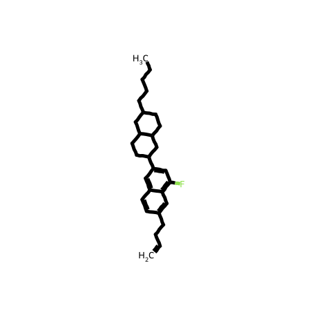 C=CCCc1ccc2cc(C3CCC4CC(CCCCC)CCC4C3)cc(F)c2c1